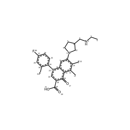 CCNCC1CCN(c2cc3c(c(C)c2F)c(=O)c(C(=O)O)cn3-c2ccc(F)cc2F)C1